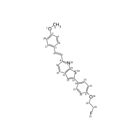 COc1ccc(/C=C/c2ccc3cc(-c4ccc(OCCF)cc4)sc3n2)cc1